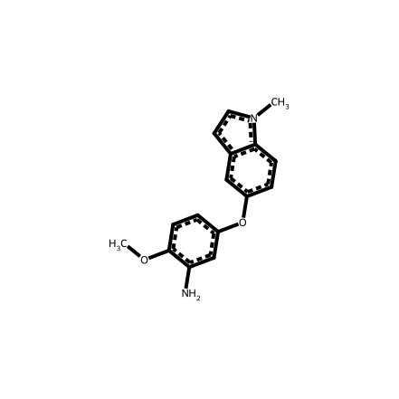 COc1ccc(Oc2ccc3c(ccn3C)c2)cc1N